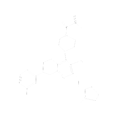 C=C(F)C(=O)N1CCN(c2c(C#N)c(OC[C@@H]3CCCN3C)nc3c2CCN(c2cccc(F)c2C(F)(F)F)C3)CC1